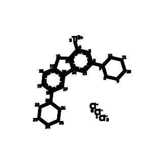 [Cl-].[Cl-].[Cl-].[Ti+3][c]1cc(C2CCCCC2)cc2c1Cc1ccc(C3CCCCC3)cc1-2